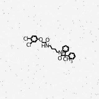 CC(C(=O)NCCCCNC(=O)COc1ccc(Cl)c(Cl)c1)(c1ccccc1)c1ccccc1